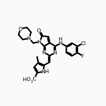 Cc1cc(C(=O)O)[nH]c1C=c1nc(Nc2ccc(F)c(Cl)c2)c2c(n1)N(CN1CCOCC1)C(=O)C=2